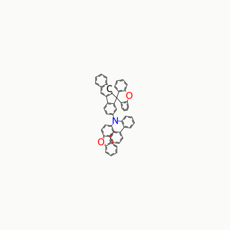 c1ccc(-c2ccccc2N(c2ccc3c(c2)C2(c4ccccc4Oc4ccccc42)c2cc4ccccc4cc2-3)c2ccc3oc4ccccc4c3c2)cc1